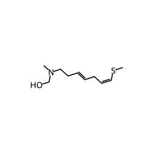 CS/C=C\C/C=C/CCN(C)CO